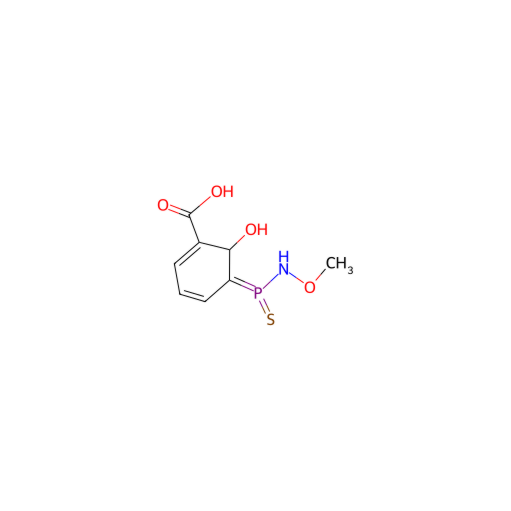 CON/P(=S)=C1/C=CC=C(C(=O)O)C1O